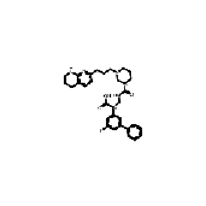 O=C(NC[C@H](C(=O)O)c1cc(F)cc(-c2ccccc2)c1)[C@@H]1CCCN(CCCc2ccc3c(n2)NCCC3)C1